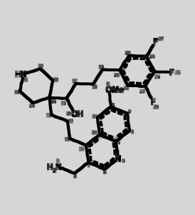 COc1ccc2ncc(CN)c(CCCC3(C(O)CCCc4cc(F)c(F)c(F)c4)CCNCC3)c2c1